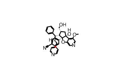 COc1cncc2c1[C@]1(O)C[C@@H](CO)[C@@H](C(NCc3ccncc3)c3ccccc3)[C@]1(c1ccc(C#N)cc1)O2